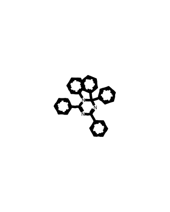 c1ccc(C2=NC(c3ccccc3)(c3ccccc3)N(c3ccccc3)C(c3ccccc3)=N2)cc1